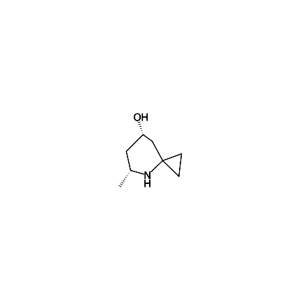 C[C@@H]1C[C@H](O)CC2(CC2)N1